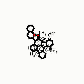 CCCC1=Cc2c(ccc3ccccc23)C1C1=CC=CC2(C)C3(C)C=CC=CC3(C)C3(C)C4(C)C(C)=CC=CC4[CH]([Zr+2][SiH](C)C)C3(C)C12C.[Cl-].[Cl-]